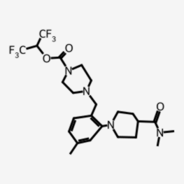 Cc1ccc(CN2CCN(C(=O)OC(C(F)(F)F)C(F)(F)F)CC2)c(N2CCC(C(=O)N(C)C)CC2)c1